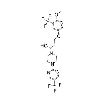 COc1ncc(OCCC(O)N2CCN(c3ncc(C(F)(F)F)cn3)CC2)cc1C(F)(F)F